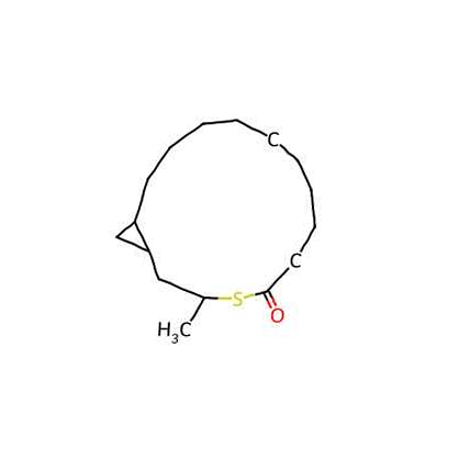 CC1CC2CC2CCCCCCCCCC(=O)S1